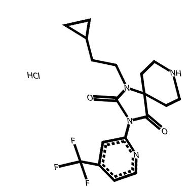 Cl.O=C1N(c2cc(C(F)(F)F)ccn2)C(=O)C2(CCNCC2)N1CCC1CC1